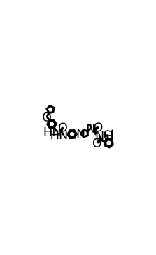 CN(C(=O)CNC(=O)c1ccccc1Cl)C1CCN(c2ccc(NC(=O)Nc3ccc(OC4CCCC4)cc3)cc2)C1